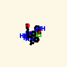 COCCCCc1[nH]nnc1C(=O)N(CC(C)C)c1ccccc1[C@H]1CNC[C@H](N2CCCNC2=O)C1.Cl